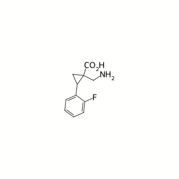 NCC1(C(=O)O)CC1c1ccccc1F